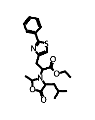 CCOC(=O)C(Cc1csc(-c2ccccc2)n1)N1C(C)OC(=O)C1CC(C)C